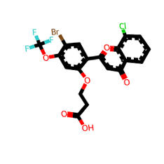 O=C(O)CCOc1cc(OC(F)(F)F)c(Br)cc1-c1cc(=O)c2cccc(Cl)c2o1